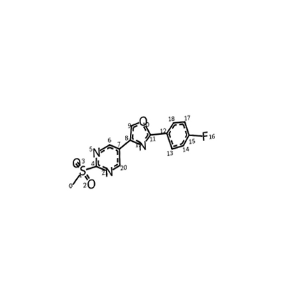 CS(=O)(=O)c1ncc(-c2coc(-c3ccc(F)cc3)n2)cn1